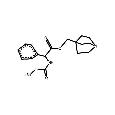 CC(C)(C)OC(=O)NC(C(=O)OCC12CCN(CC1)CC2)c1ccccc1